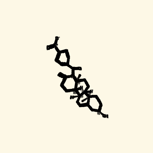 C=C1CC[C@H]2[C@@H]3CC=C4C[C@@H](O)CC[C@]4(C)[C@H]3CC[C@]2(C)N1C(=O)c1ccc([N+](=O)[O-])cc1